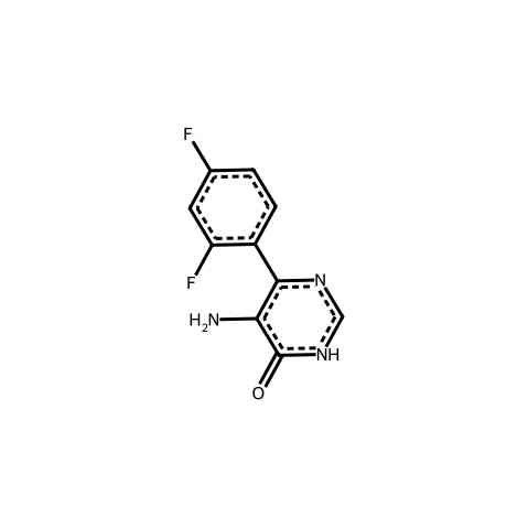 Nc1c(-c2ccc(F)cc2F)nc[nH]c1=O